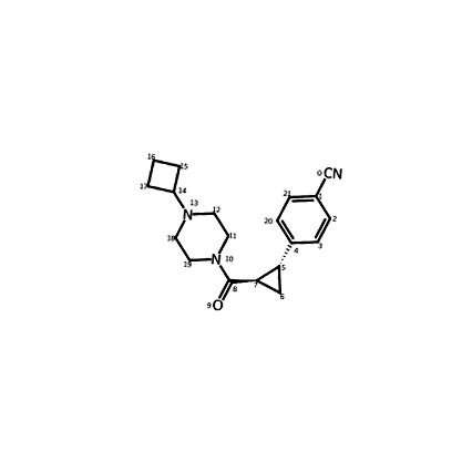 N#Cc1ccc([C@@H]2C[C@H]2C(=O)N2CCN(C3CCC3)CC2)cc1